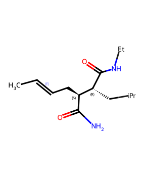 C/C=C/C[C@H](C(N)=O)[C@@H](CC(C)C)C(=O)NCC